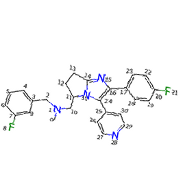 CN(Cc1cccc(F)c1)CC1CCc2nc(-c3ccc(F)cc3)c(-c3ccncc3)n21